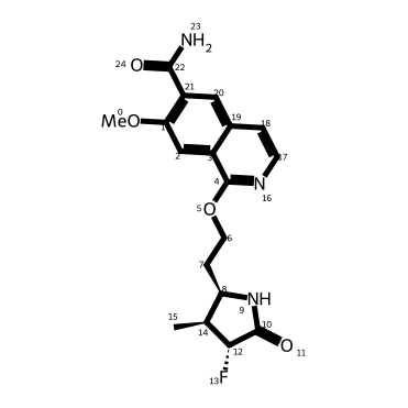 COc1cc2c(OCC[C@H]3NC(=O)[C@H](F)[C@H]3C)nccc2cc1C(N)=O